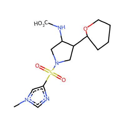 Cn1cnc(S(=O)(=O)N2CC(NC(=O)O)C(C3CCCCO3)C2)c1